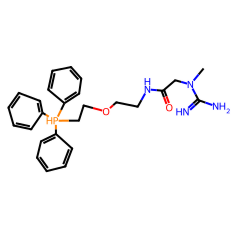 CN(CC(=O)NCCOCC[PH](c1ccccc1)(c1ccccc1)c1ccccc1)C(=N)N